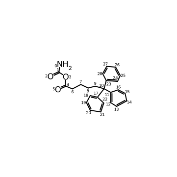 NC(=O)OC(=O)CCCCC(c1ccccc1)(c1ccccc1)c1ccccc1